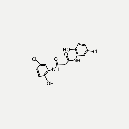 O=C(CC(=O)Nc1cc(Cl)ccc1O)Nc1cc(Cl)ccc1O